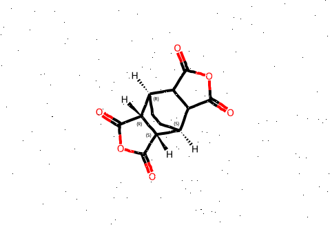 O=C1OC(=O)C2C1[C@H]1CC[C@@H]2[C@@H]2C(=O)OC(=O)[C@@H]21